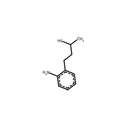 CC(S)CCc1ccccc1N